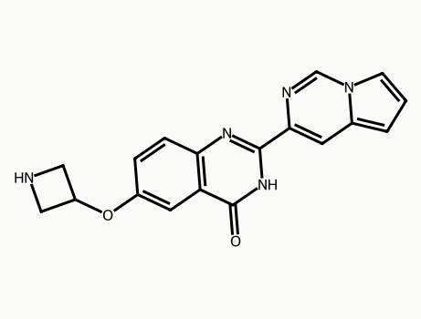 O=c1[nH]c(-c2cc3cccn3cn2)nc2ccc(OC3CNC3)cc12